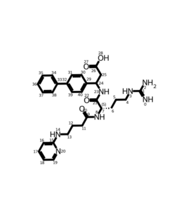 N=C(N)NCCC[C@H](NC(=O)CCCNc1ccccn1)C(=O)NC(CC(=O)O)c1ccc(-c2ccccc2)cc1